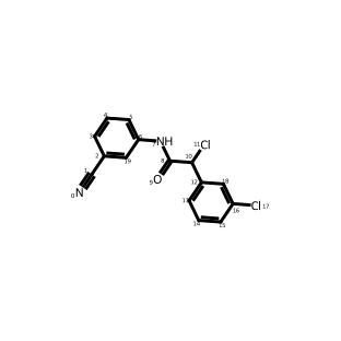 N#Cc1cccc(NC(=O)C(Cl)c2cccc(Cl)c2)c1